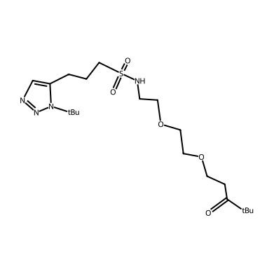 CC(C)(C)C(=O)CCOCCOCCNS(=O)(=O)CCCc1cnnn1C(C)(C)C